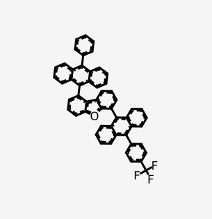 FC(F)(F)c1ccc(-c2c3ccccc3c(-c3cccc4c3oc3cccc(-c5c6ccccc6c(-c6ccccc6)c6ccccc56)c34)c3ccccc23)cc1